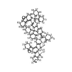 Cc1cc(C)c(N(c2ccc3c(c2)C(C)(C)c2c4c(c5oc6ccccc6c5c2-3)-c2ccccc2C4(C)C)c2ccc3c(c2)C(c2ccccc2)(c2ccccc2)c2cc4c(cc2-3)C(c2ccccc2)(c2ccccc2)c2ccc3oc5ccccc5c3c2-4)c(C)c1